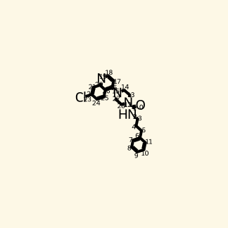 O=C(NCCCc1ccccc1)N1CCN(c2ccnc3cc(Cl)ccc23)CC1